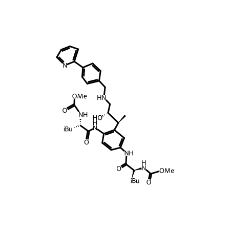 CC[C@H](C)[C@H](NC(=O)OC)C(=O)Nc1ccc(NC(=O)[C@@H](NC(=O)OC)[C@@H](C)CC)c([C@H](C)[C@H](O)CNCc2ccc(-c3ccccn3)cc2)c1